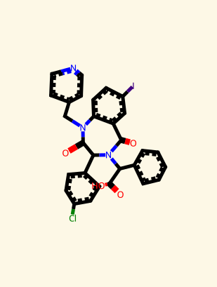 O=C(O)C(c1ccccc1)N1C(=O)c2cc(I)ccc2N(Cc2ccncc2)C(=O)C1c1ccc(Cl)cc1